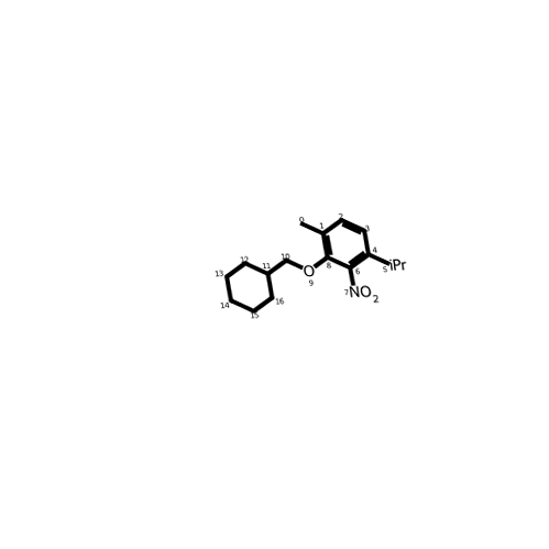 Cc1ccc(C(C)C)c([N+](=O)[O-])c1OCC1CCCCC1